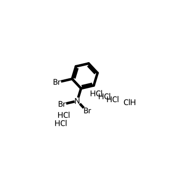 Brc1ccccc1N(Br)Br.Cl.Cl.Cl.Cl.Cl.Cl